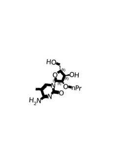 CCCO[C@@H]1[C@H](O)[C@@H](CO)O[C@H]1n1cc(C)c(N)nc1=O